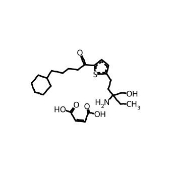 CCC(N)(CO)CCc1ccc(C(=O)CCCCC2CCCCC2)s1.O=C(O)/C=C\C(=O)O